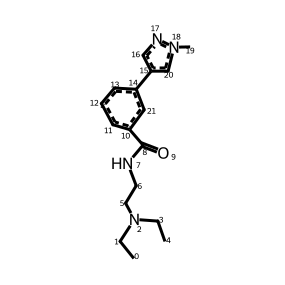 CCN(CC)CCNC(=O)c1c[c]cc(-c2cnn(C)c2)c1